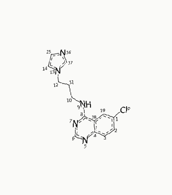 Clc1ccc2ncnc(NCCCn3ccnc3)c2c1